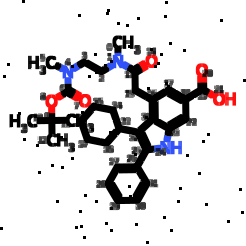 CN(CCN(C)C(=O)OC(C)(C)C)C(=O)Cc1cc(C(=O)O)cc2[nH]c(-c3ccccc3)c(C3CCCCC3)c12